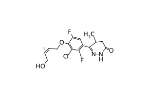 CC1CC(=O)NN=C1c1cc(F)c(OC/C=C\CO)c(Cl)c1F